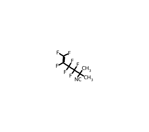 CC(C)(C#N)C(F)(F)C(F)(F)C(F)=C(F)F